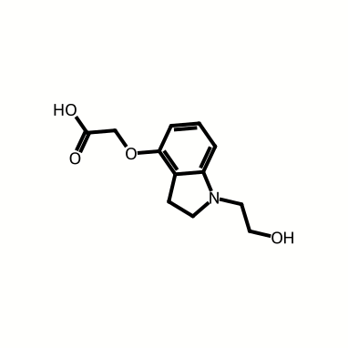 O=C(O)COc1cccc2c1CCN2CCO